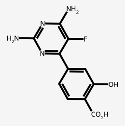 Nc1nc(N)c(F)c(-c2ccc(C(=O)O)c(O)c2)n1